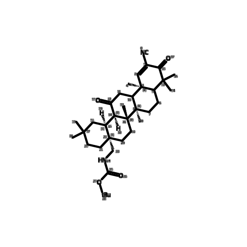 [C-]#[N+]C1=C[C@@]2(C)C(CC[C@]3(C)C2CC(=O)[C@@H]2[C@@H]4CC(C)(C)CC[C@]4(CNC(=O)OC(C)(C)C)CC[C@]23C)C(C)(C)C1=O